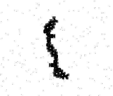 CC(C)c1ccc2c(c1)CCC1C(C)(C(=O)OCC(O)COCCOc3ccc(-c4ccc(OCCOCC(O)COC(=O)C5(C)CCCC6(C)c7ccc(C(C)C)cc7CCC56)cc4)cc3)CCCC21C